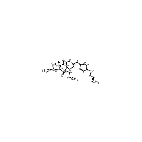 C=CCOc1ccc(CN2CCC3(CC2)C(=O)NC(CC(C)C)C(=O)N3CCC)cc1